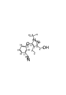 CCc1c(CO)nn(C(C)C)c1Oc1cccc(C#N)c1